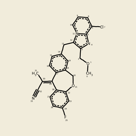 COCc1nc2c(Cl)cccn2c1Cc1ccc2c(c1)COc1cc(F)ccc1C2=C(C)C#N